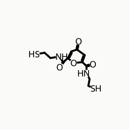 O=C(NCCS)c1cc(=O)cc(C(=O)NCCS)o1